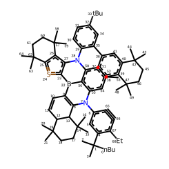 CCCCC(C)(C)c1cc(N2C3=C(C=CC4C3C(C)(C)CCC4(C)C)B3c4sc5c(c4N(c4ccc(C(C)(C)C)cc4-c4ccc6c(c4)C(C)(C)CCC6(C)C)c4cc(C)cc2c43)C(C)(C)CCC5(C)C)c#cc1CC